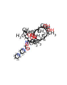 C/C=C/C(O)C(C)/C=C/C(=N/OCC(=O)N1CCC(N2CCCCC2)CC1)C(C)C(O)C(C)C1OC(=O)C(OC)=C/C(C)=C/C(C)C(O)C(CC)C(O)C(C)C/C(C)=C/C=C/C1OC